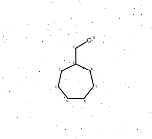 [O]CC1CCCCCC1